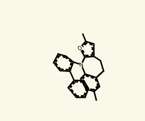 Cc1ccc2c(c1)CCc1cc(C)oc1N2c1ccccc1-c1ccccc1